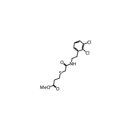 COC(=O)CCSCC(=O)NCCc1cccc(Cl)c1Cl